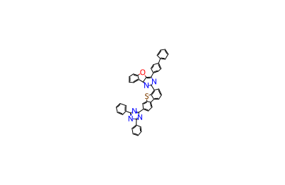 c1ccc(-c2ccc(-c3nc(-c4cccc5c4sc4cc(-c6nc(-c7ccccc7)nc(-c7ccccc7)n6)ccc45)nc4c3oc3ccccc34)cc2)cc1